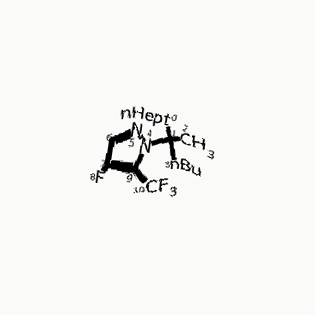 CCCCCCCC(C)(CCCC)n1ncc(F)c1C(F)(F)F